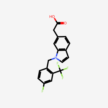 O=C(O)Cc1ccc2ccn(Cc3ccc(F)cc3C(F)(F)F)c2c1